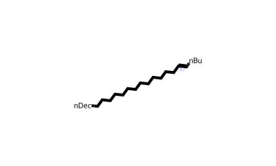 [CH2]CCC/C=C/CCCCCCCCCCCCCCCCCCCCCC[CH2]